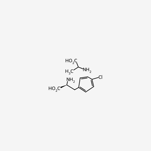 CC(N)C(=O)O.N[C@@H](Cc1ccc(Cl)cc1)C(=O)O